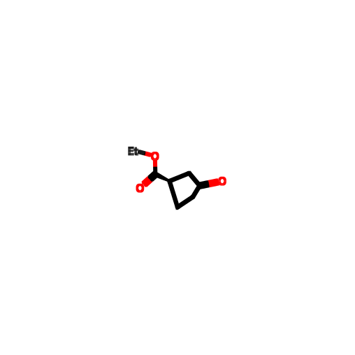 CCOC(=O)[C@@H]1CCC(=O)C1